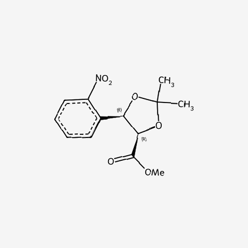 COC(=O)[C@@H]1OC(C)(C)O[C@@H]1c1ccccc1[N+](=O)[O-]